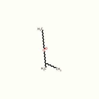 CCCCCCCCCCCCCC(=O)OCCCCCCCCC(CCC)CCCCCCCC